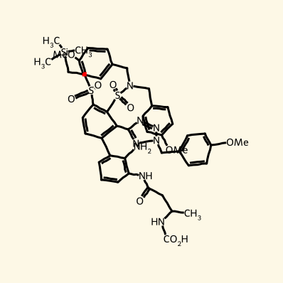 COc1ccc(CN(Cc2ccc(OC)cc2)S(=O)(=O)c2c(S(=O)(=O)CC[Si](C)(C)C)ccc(-c3cccc(NC(=O)CC(C)NC(=O)O)c3N)c2-c2nnn(Cc3ccc(OC)cc3)n2)cc1